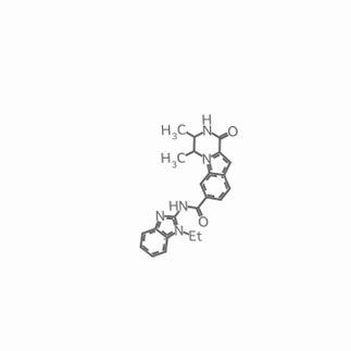 CCn1c(NC(=O)c2ccc3cc4n(c3c2)C(C)C(C)NC4=O)nc2ccccc21